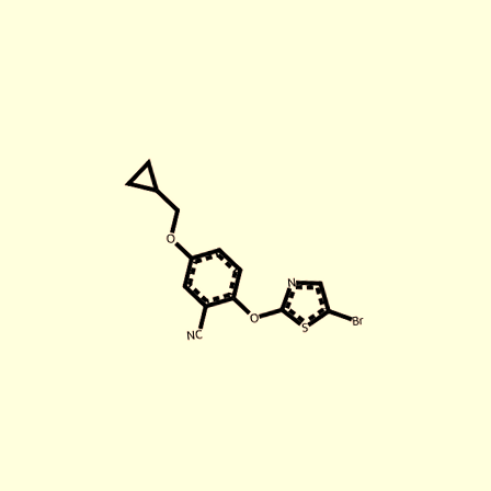 N#Cc1cc(OCC2CC2)ccc1Oc1ncc(Br)s1